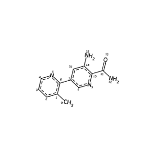 Cc1cccnc1-c1cnc(C(N)=O)c(N)c1